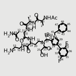 CC(=O)N[C@@H](C)C(=O)N[C@H](C)C(=O)N[C@@H](CC(N)=O)C(=O)N[C@@H](CCN(C(=O)CO)[C@@H](c1cc(-c2cc(F)ccc2F)cn1Cc1ccccc1)C(C)(C)C)C(=O)NCCN